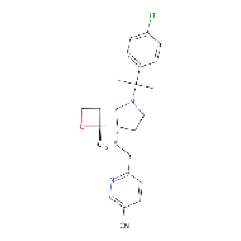 CC(C)(c1ccc(Cl)cc1)N1CC[C@@](CCc2ccc(C#N)cn2)([C@@]2(C(F)(F)F)CCO2)C1